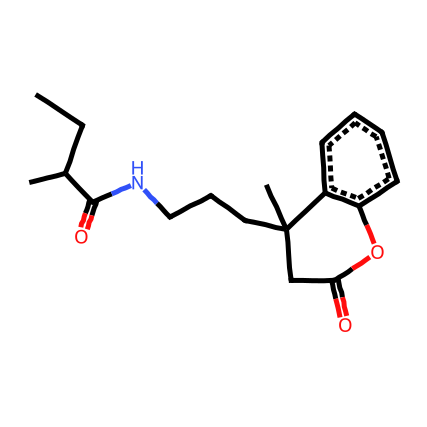 CCC(C)C(=O)NCCCC1(C)CC(=O)Oc2ccccc21